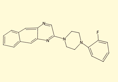 Fc1ccccc1N1CCN(c2cnc3cc4ccccc4cc3n2)CC1